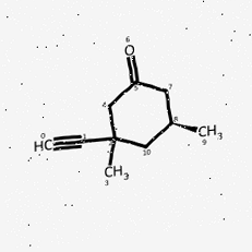 C#CC1(C)CC(=O)C[C@@H](C)C1